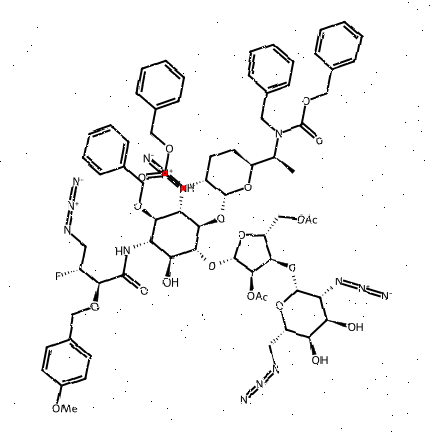 COc1ccc(CO[C@H](C(=O)N[C@H]2[C@H](O)[C@@H](O[C@@H]3O[C@H](COC(C)=O)[C@@H](O[C@H]4O[C@@H](CN=[N+]=[N-])[C@H](O)[C@H](O)[C@H]4N=[N+]=[N-])[C@H]3OC(C)=O)[C@H](O[C@H]3O[C@H]([C@H](C)N(Cc4ccccc4)C(=O)OCc4ccccc4)CC[C@H]3N=[N+]=[N-])[C@@H](NC(=O)OCc3ccccc3)[C@@H]2OCc2ccccc2)[C@H](F)CN=[N+]=[N-])cc1